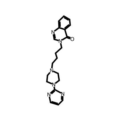 O=c1c2ccccc2ncn1CCCCN1CCN(c2ncccn2)CC1